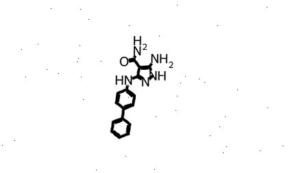 NC(=O)c1c(Nc2ccc(-c3ccccc3)cc2)n[nH]c1N